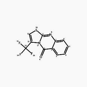 O=c1c2ccccc2nc2scc(C(F)(F)F)n12